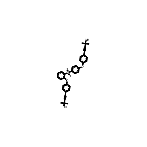 CC(C)(O)C#Cc1ccc(Oc2ccc(S(=O)(=O)c3ccccc3Oc3ccc(C#CC(C)(C)O)cc3)cc2)cc1